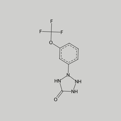 O=C1NNN(c2cccc(OC(F)(F)F)c2)N1